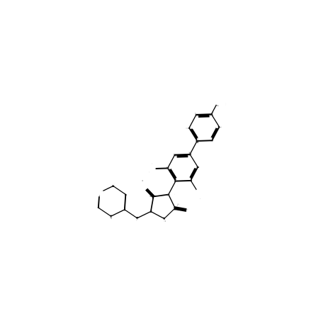 Cc1cc(-c2ccc(C(F)(F)F)cc2)cc(C)c1C1C(=O)CC(CC2CCOCC2)C1=O